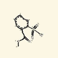 COC(=O)c1ccccc1S(=O)(=O)O